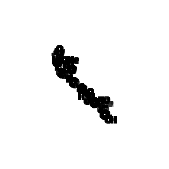 COc1cc(CN2CCN(C3CC4(CCN(c5ccc(C(=O)NS(=O)(=O)c6ccc(NCC7CCC(C)(O)CC7)c([N+](=O)[O-])c6)cc5)CC4)C3)[C@@H](c3ccccc3OC(C)C)C2)cnc1N1CCOC[C@H]1C